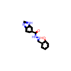 O=C(NN=Cc1ccccc1O)c1ccc2nc[nH]c2c1